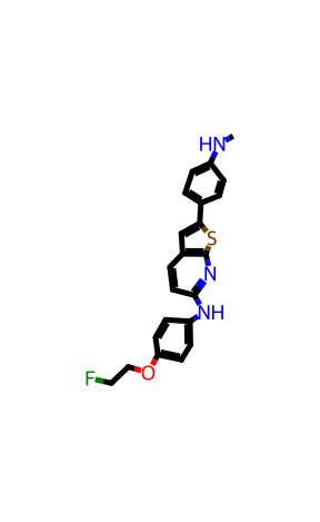 CNc1ccc(-c2cc3ccc(Nc4ccc(OCCF)cc4)nc3s2)cc1